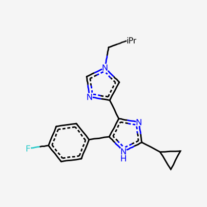 CC(C)Cn1cnc(-c2nc(C3CC3)[nH]c2-c2ccc(F)cc2)c1